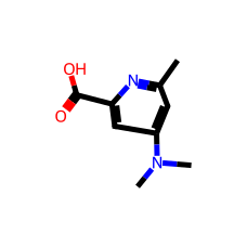 Cc1cc(N(C)C)cc(C(=O)O)n1